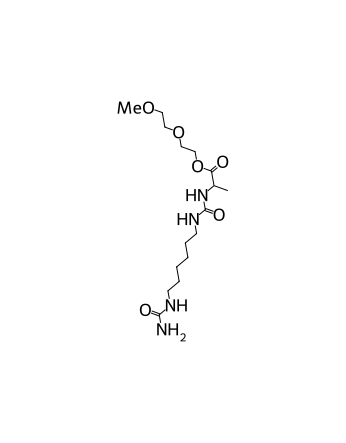 COCCOCCOC(=O)C(C)NC(=O)NCCCCCCNC(N)=O